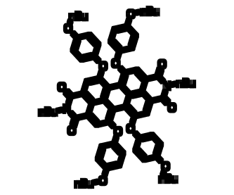 CCCCOc1ccc(Oc2cc3c4c(cc(Oc5ccc(OCCCC)cc5)c5c6c(Oc7ccc(OCCCC)cc7)cc7c8c(cc(Oc9ccc(OCCCC)cc9)c(c2c45)c86)C(=O)N(CCCC)C7=O)C(=O)N(CCCC)C3=O)cc1